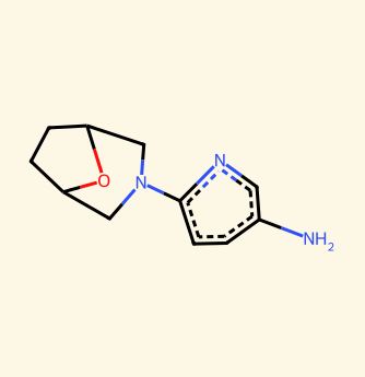 Nc1ccc(N2CC3CCC(C2)O3)nc1